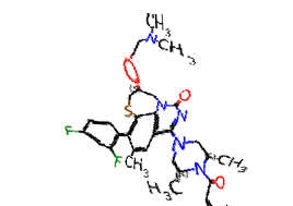 C=CC(=O)N1[C@H](C)CN(c2nc(=O)n3c4c(c(-c5ccc(F)cc5F)c(C)cc24)SC[C@@H](OCCN(C)C)C3)C[C@@H]1C